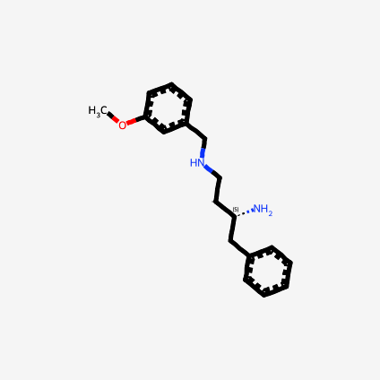 COc1cccc(CNC[CH][C@H](N)Cc2ccccc2)c1